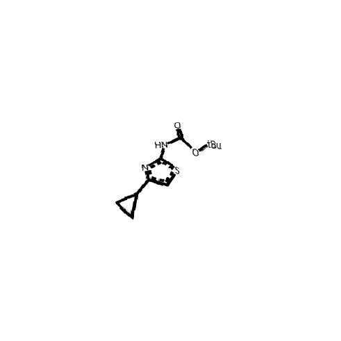 CC(C)(C)OC(=O)Nc1nc(C2CC2)cs1